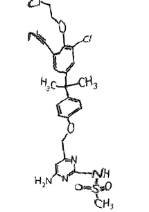 CC(C)(c1ccc(OCc2cc(N)nc(NS(C)(=O)=O)n2)cc1)c1cc(Cl)c(OCCCl)c(C#N)c1